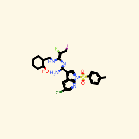 Cc1ccc(S(=O)(=O)n2cc(/C(N)=N/C(NCC3CCCCC3O)=C(/F)CI)c3cc(Cl)cnc32)cc1